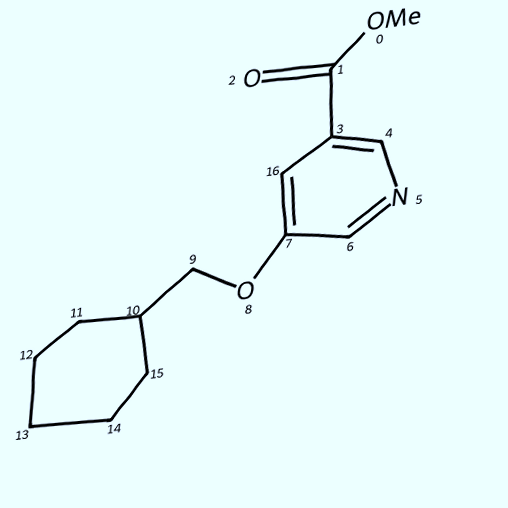 COC(=O)c1cncc(OCC2CCCCC2)c1